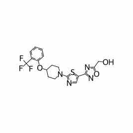 OCc1nc(-c2cnc(N3CCC(Oc4ccccc4C(F)(F)F)CC3)s2)no1